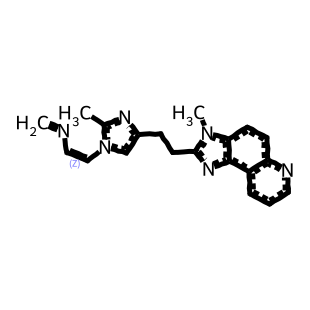 C=N/C=C\n1cc(CCc2nc3c4cccnc4ccc3n2C)nc1C